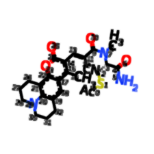 CC(=O)SC[C@@H](C(N)=O)N(C)C(=O)/C(C#N)=C/c1c(C)c2cc3c4c(c2oc1=O)CCCN4CCC3